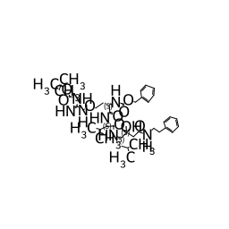 CC(C)C[C@H](NC(=O)[C@@H](NC(=O)[C@H](CCONC(=N)NC(=O)OC(C)(C)C)NC(=O)OCc1ccccc1)C(C)C)[C@@H](O)CC(=O)NCCc1ccccc1